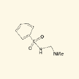 CNCNS(=O)(=O)c1ccccc1